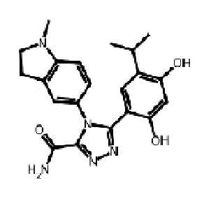 CC(C)c1cc(-c2nnc(C(N)=O)n2-c2ccc3c(c2)CCN3C)c(O)cc1O